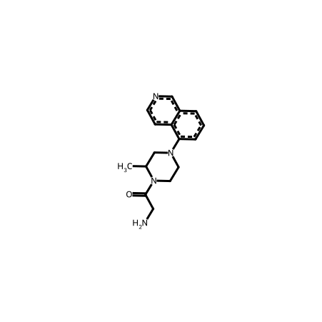 CC1CN(c2cccc3cnccc23)CCN1C(=O)CN